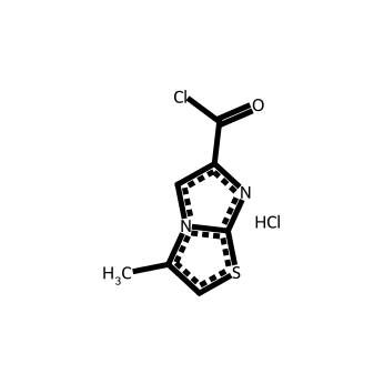 Cc1csc2nc(C(=O)Cl)cn12.Cl